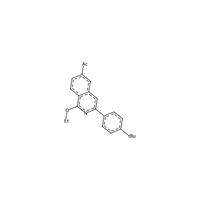 CCOc1nc(-c2ccc(C(C)(C)C)cc2)cc2cc(C(C)=O)ccc12